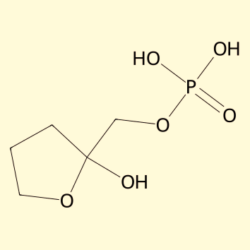 O=P(O)(O)OCC1(O)CCCO1